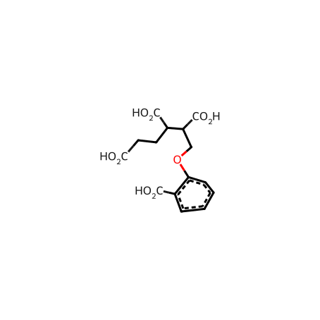 O=C(O)CCC(C(=O)O)C(COc1ccccc1C(=O)O)C(=O)O